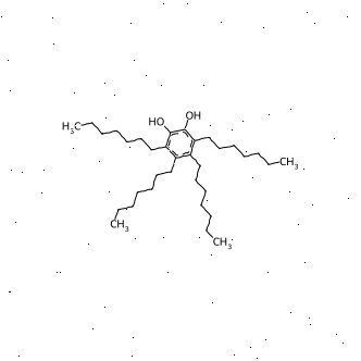 CCCCCCCc1c(O)c(O)c(CCCCCCC)c(CCCCCCC)c1CCCCCCC